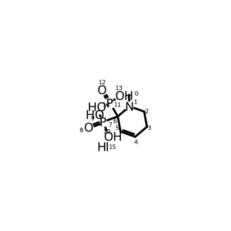 CN1CCC=CC1(P(=O)(O)O)P(=O)(O)O.I